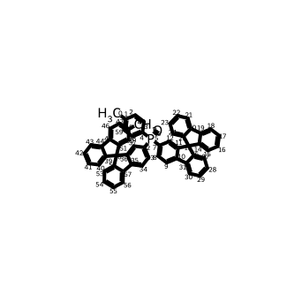 Cc1ccc(P(=O)(c2ccc3c(c2)C2(c4ccccc4-c4ccccc42)c2ccccc2-3)c2ccc3c(c2)C2(c4ccccc4-c4ccc(C)cc42)c2ccccc2-3)cc1